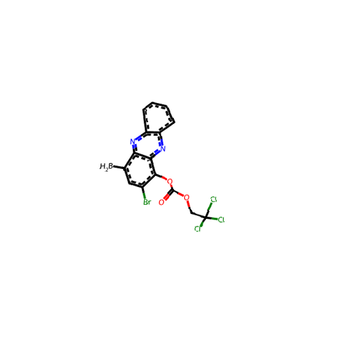 Bc1cc(Br)c(OC(=O)OCC(Cl)(Cl)Cl)c2nc3ccccc3nc12